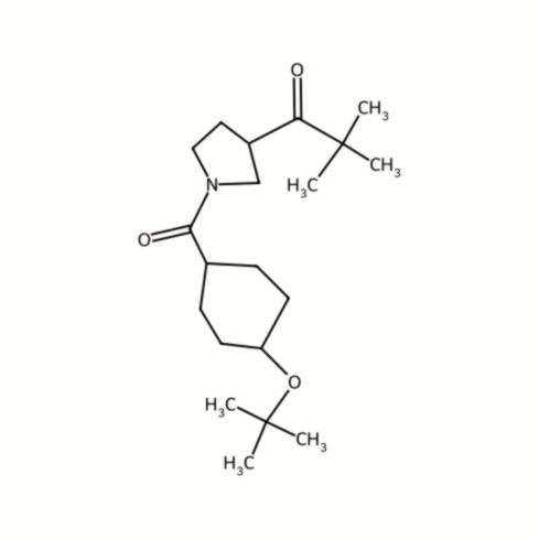 CC(C)(C)OC1CCC(C(=O)N2CCC(C(=O)C(C)(C)C)C2)CC1